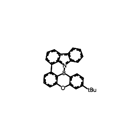 CC(C)(C)c1ccc2c(c1)Oc1cccc3c1B2n1c2ccccc2c2cccc-3c21